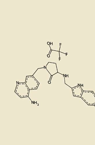 Nc1ccnc2cc(CN3CCC(NCc4cc5cc(Cl)ccc5[nH]4)C3=O)ccc12.O=C(O)C(F)(F)F